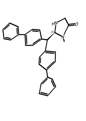 CN1C(=O)CN[C@@H]1C(c1ccc(-c2ccccc2)cc1)c1ccc(-c2ccccc2)cc1